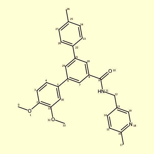 COc1ccc(-c2cc(C(=O)NCc3ccc(C)nc3)cc(-c3ccc(C)cc3)c2)cc1OC